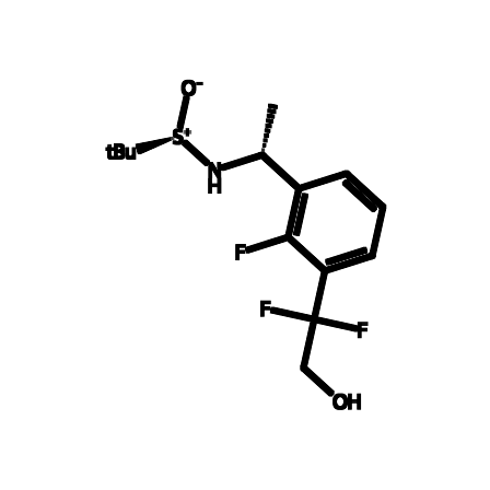 C[C@@H](N[S@+]([O-])C(C)(C)C)c1cccc(C(F)(F)CO)c1F